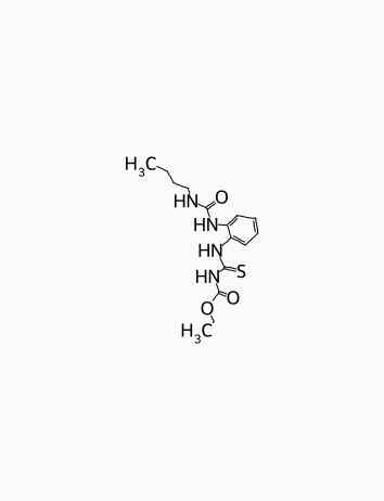 CCCCNC(=O)Nc1ccccc1NC(=S)NC(=O)OCC